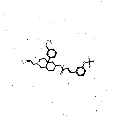 C=CCN1CCC2(c3cccc(OC)c3)CC(NC(=O)/C=C/c3cccc(OC(F)(F)F)c3)CCC2C1